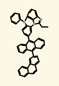 CCc1nc2cccc3c2n1-c1cc(-c2c4ccccc4c(-c4ccc5ccc6ccccc6c5c4)c4ccccc24)ccc1N3c1ccccc1